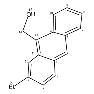 CCc1ccc2cc3ccccc3c(CO)c2c1